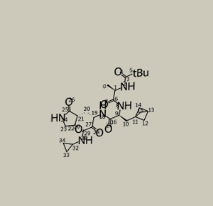 C[C@@H](NC(=O)C(C)(C)C)C(=O)N[C@@H](CC12CC(C1)C2)C(=O)N[C@@H](C[C@@H]1CCNC1=O)C(=O)C(=O)NC1CC1